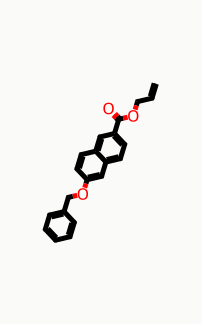 C=CCOC(=O)c1ccc2cc(OCc3ccccc3)ccc2c1